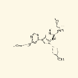 C=N/C(=N\n1c(C)c(-c2ccnc(OCCOC)c2)cc1[C@H]1CC[C@H](O)CC1)N[C@@H](C)COC